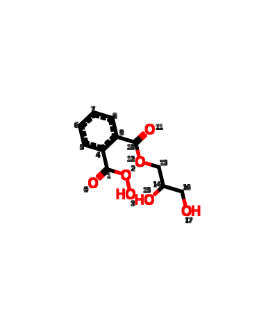 O=C(OO)c1ccccc1C(=O)OCC(O)CO